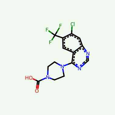 O=C(O)N1CCN(c2ncnc3cc(Cl)c(C(F)(F)F)cc23)CC1